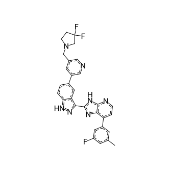 Cc1cc(F)cc(-c2ccnc3[nH]c(-c4n[nH]c5ccc(-c6cncc(CN7CCC(F)(F)C7)c6)cc45)nc23)c1